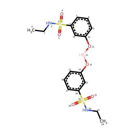 CCNS(=O)(=O)c1cccc(OBOc2cccc(S(=O)(=O)NCC)c2)c1